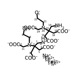 NCC(CC(=O)[O-])(CC(=O)[O-])N(CCO)CC(=O)[O-].NCC(CC(=O)[O-])(CC(=O)[O-])N(CC[O-])CC(=O)[O-].[Fe+2].[Fe+2].[Fe+2].[Na+]